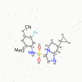 COc1cc(CC#N)c(F)cc1NS(=O)(=O)c1cnc2cc(C3CC3)ccn12